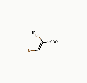 O=C([O-])/C(Br)=C/Br.[Tl+]